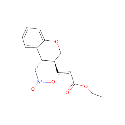 CCOC(=O)/C=C/[C@@H]1COc2ccccc2[C@H]1C[N+](=O)[O-]